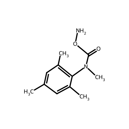 Cc1cc(C)c(N(C)C(=O)ON)c(C)c1